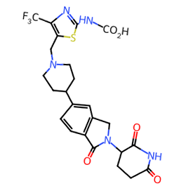 O=C(O)Nc1nc(C(F)(F)F)c(CN2CCC(c3ccc4c(c3)CN(C3CCC(=O)NC3=O)C4=O)CC2)s1